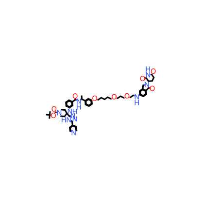 CC(NC(=O)c1cccc(NC2(c3nnc(-c4ccncc4)[nH]3)CCN(C(=O)OC(C)(C)C)CC2)c1)c1cccc(OCCCCCOCCCOCCNc2ccc3c(c2)CN(C2CCC(=O)NC2=O)C3=O)c1